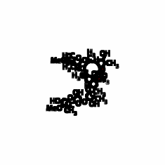 COC(=O)N[C@H]1[C@@H](C)O[C@@H](O[C@H]2C/C=C(/C)[C@@H]3C=C[C@@H]4[C@@H](O[C@H]5C[C@@H](O[C@H]6C[C@@H](O)[C@@H](O[C@@H]7C[C@@H](O)[C@@H](OC)[C@H](C)O7)[C@H](C)O6)[C@@H](O)[C@H](C)O5)[C@@H](C)C[C@H](C)[C@H]4[C@]3(C)C(O)=C3C(=O)O[C@]4(C[C@@H](C)C(CO)=C[C@H]4/C=C\2C)C3=O)C[C@]1(C)[N+](=O)[O-]